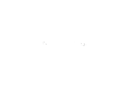 Nc1ccc2c(c1)C(c1ccccc1)CNCC2